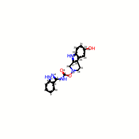 O=C(Nc1n[nH]c2ccccc12)ON1CCc2c([nH]c3ccc(O)cc23)C1